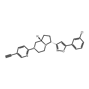 C#Cc1ccc(N2CCN3[C@@H](CC[C@@H]3c3cc(-c4cccc(Cl)c4)on3)C2)nc1